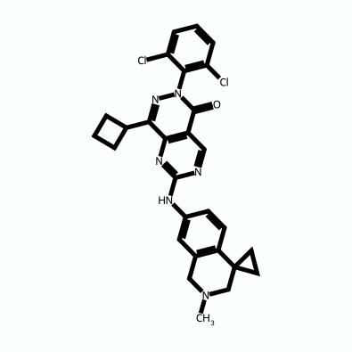 CN1Cc2cc(Nc3ncc4c(=O)n(-c5c(Cl)cccc5Cl)nc(C5CCC5)c4n3)ccc2C2(CC2)C1